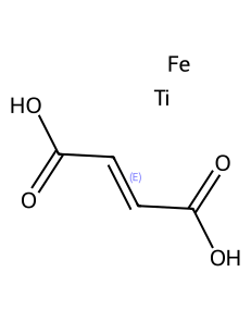 O=C(O)/C=C/C(=O)O.[Fe].[Ti]